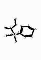 CCC(C)[Si](C)(Cl)c1ccccc1